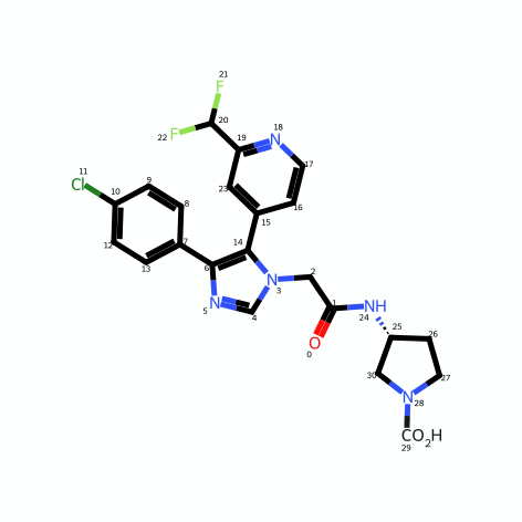 O=C(Cn1cnc(-c2ccc(Cl)cc2)c1-c1ccnc(C(F)F)c1)N[C@@H]1CCN(C(=O)O)C1